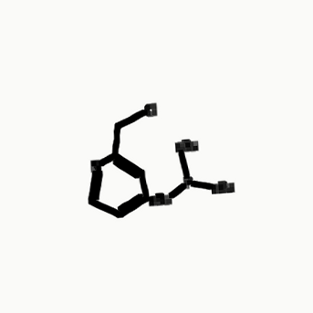 CCCCP(CCCC)CCCC.ClCc1ccccn1